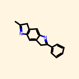 CC1=Nc2cc3c(cc2C1)N=C(c1ccccc1)C3